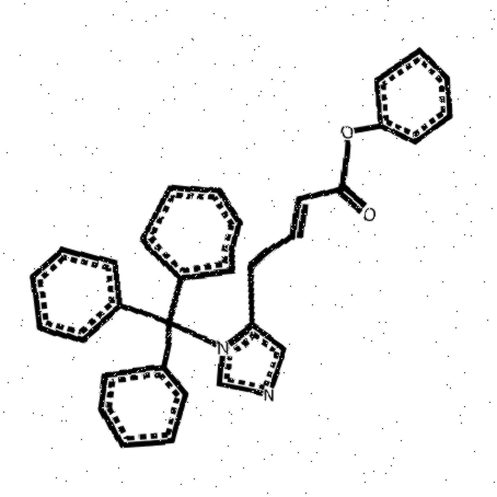 O=C(C=CCc1cncn1C(c1ccccc1)(c1ccccc1)c1ccccc1)Oc1ccccc1